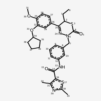 CCC1SC(=O)N(Cc2cccc(NC(=O)c3sc(C)nc3C)c2)N=C1c1ccc(OC)c(OC2CCCC2)c1